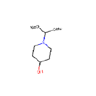 COC(OC)N1CCC(O)CC1